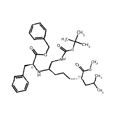 COC(=O)[C@@H](CCCC(CNC(=O)OC(C)(C)C)N[C@@H](Cc1ccccc1)C(=O)OCc1ccccc1)CC(C)C